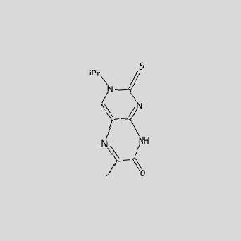 Cc1nc2cn(C(C)C)c(=S)nc2[nH]c1=O